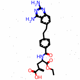 C=C(CC(NC(=O)c1ccc(CCc2ccc3nc(N)nc(N)c3c2)cc1)C(=O)OCC)C(=O)O